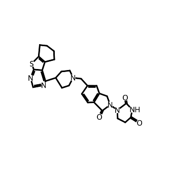 O=C1CCN(N2Cc3cc(CN4CCC(c5ncnc6sc7c(c56)CCCC7)CC4)ccc3C2=O)C(=O)N1